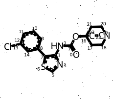 O=C(Nc1ncsc1-c1cccc(Cl)c1)OC12CCN(CC1)CC2